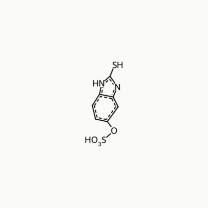 O=S(=O)(O)Oc1ccc2[nH]c(S)nc2c1